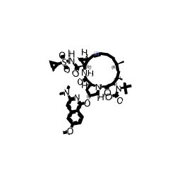 COc1ccc2c(O[C@@H]3C[C@H]4C(=O)N[C@]5(C(=O)NS(=O)(=O)C6CC6)C[C@H]5/C=C\CC[C@@H](C)C[C@@H](C)[C@H](N(C(=O)O)C(C)(C)C)C(=O)N4C3)nc(N(C)C)cc2c1